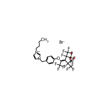 CCCC[n+]1ccn(Cc2ccc(OC(=C(C(F)(C(F)(F)F)C(F)(F)F)C(F)(C(F)(F)F)C(F)(F)F)C(F)(F)F)cc2)c1.[Br-]